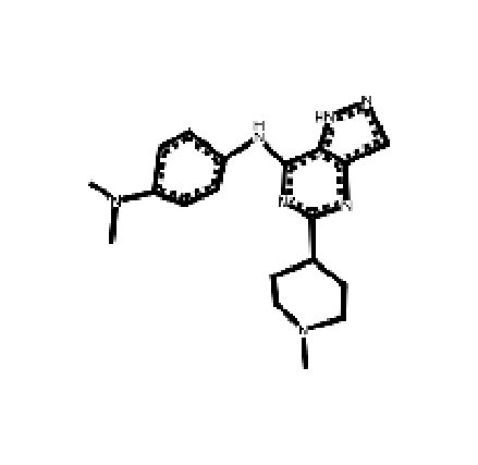 CN1CCC(c2nc(Nc3ccc(N(C)C)cc3)c3[nH]ncc3n2)CC1